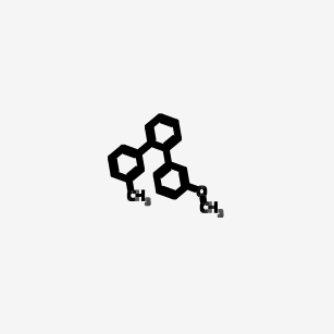 COc1cccc(-c2ccccc2-c2cccc(C)c2)c1